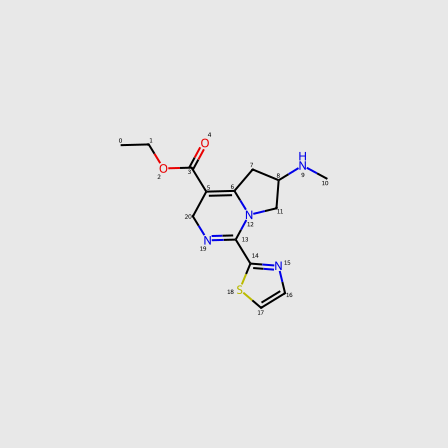 CCOC(=O)C1=C2CC(NC)CN2C(c2nccs2)=NC1